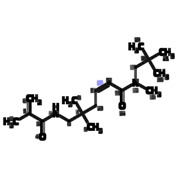 C=C(C)C(=O)NCC(C)(C)C/C=C\C(=O)N(C)CC(C)(C)C